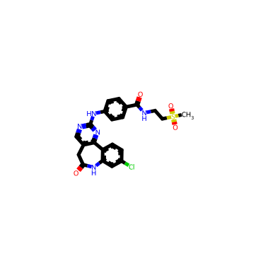 CS(=O)(=O)CCNC(=O)c1ccc(Nc2ncc3c(n2)-c2ccc(Cl)cc2NC(=O)C3)cc1